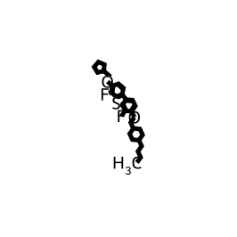 CCCCC1CCC(COc2ccc3c(sc4c(F)c(OCC5CCCC5)ccc43)c2F)CC1